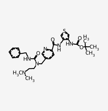 CN(C)CCN(Cc1ccc(C(=O)Nc2cscc2NC(=O)OC(C)(C)C)nc1)C(=O)NCc1ccccc1